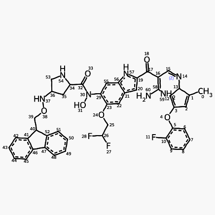 CC1=CC(Oc2ccccc2F)=CC1/N=C\C(C(=O)c1cc2cc(OCC(F)F)c(N(O)C(=O)C3CC(NOCC4c5ccccc5-c5ccccc54)CN3)cc2[nH]1)=C(N)N